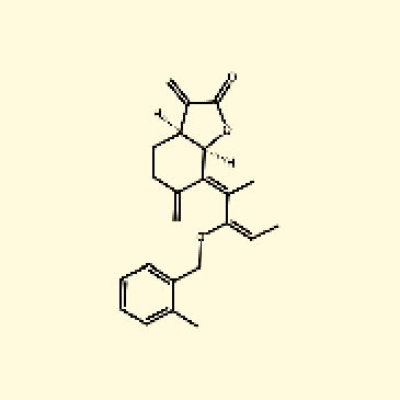 C=C1CC[C@H]2C(=C)C(=O)O[C@H]2/C1=C(C)/C(=C\C)OCc1ccccc1C